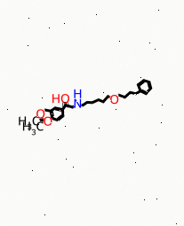 CC1(C)OCc2cc([C@@H](O)CNCCCCCCOCCCCc3ccccc3)ccc2O1